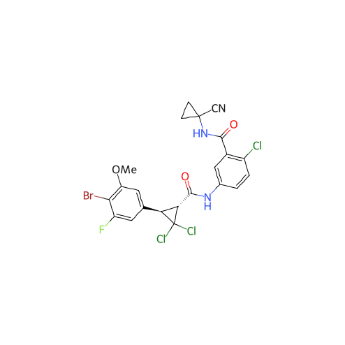 COc1cc([C@H]2[C@H](C(=O)Nc3ccc(Cl)c(C(=O)NC4(C#N)CC4)c3)C2(Cl)Cl)cc(F)c1Br